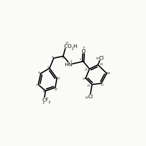 O=C(NC(Cc1ccc(C(F)(F)F)cc1)C(=O)O)c1cc(Cl)ccc1Cl